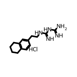 Cl.N=C(N)NC(=N)NCCc1ccc2c(c1)CCCC2